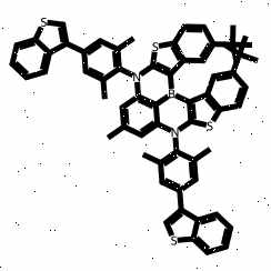 Cc1cc2c3c(c1)N(c1c(C)cc(-c4csc5ccccc45)cc1C)c1sc4ccc(C(C)(C)C)cc4c1B3c1c(sc3ccc(C(C)(C)C)cc13)N2c1c(C)cc(-c2csc3ccccc23)cc1C